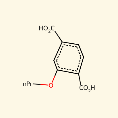 CCCOc1cc(C(=O)O)ccc1C(=O)O